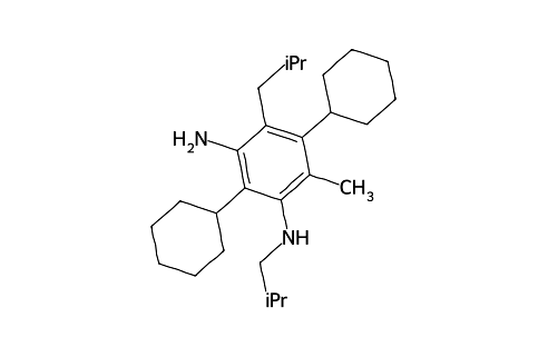 Cc1c(NCC(C)C)c(C2CCCCC2)c(N)c(CC(C)C)c1C1CCCCC1